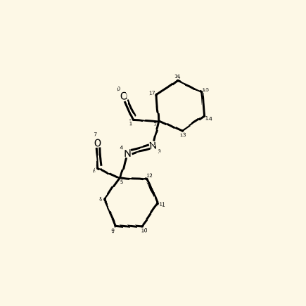 O=[C]C1(N=NC2([C]=O)CCCCC2)CCCCC1